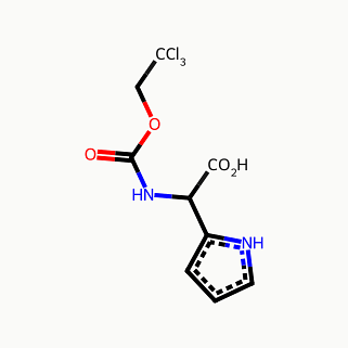 O=C(NC(C(=O)O)c1ccc[nH]1)OCC(Cl)(Cl)Cl